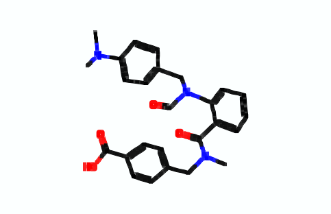 CN(Cc1ccc(C(=O)O)cc1)C(=O)c1ccccc1N(C=O)Cc1ccc(N(C)C)cc1